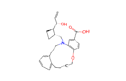 C=C[C@H](O)[C@@H]1CC[C@H]1CN1CCc2ccccc2CCCCOc2ccc(C(=O)O)cc21